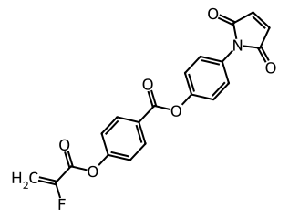 C=C(F)C(=O)Oc1ccc(C(=O)Oc2ccc(N3C(=O)C=CC3=O)cc2)cc1